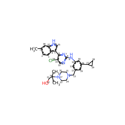 Cc1ccc2c(-c3nc(Nc4cc(CN5CCN(C(C)(C)CO)CC5)cc(C5CC5)c4)ncc3Cl)c[nH]c2c1